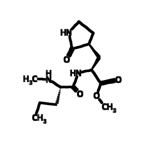 CCC[C@H](NC)C(=O)N[C@@H](C[C@@H]1CCNC1=O)C(=O)OC